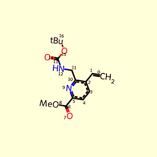 C=Cc1ccc(C(=O)OC)nc1CNC(=O)OC(C)(C)C